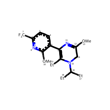 CCC1=C(c2ccc(C(F)(F)F)nc2OC)N=C(OC)CN1C(CC)CC